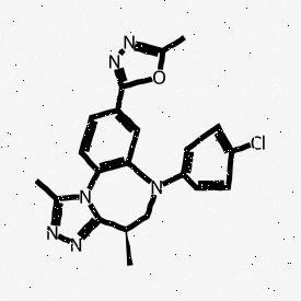 Cc1nnc(-c2ccc3c(c2)N(c2ccc(Cl)cc2)C[C@@H](C)c2nnc(C)n2-3)o1